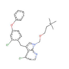 C[Si](C)(C)CCOCn1cc(Cc2ccc(Oc3ccccc3)cc2Cl)c2c(Cl)ccnc21